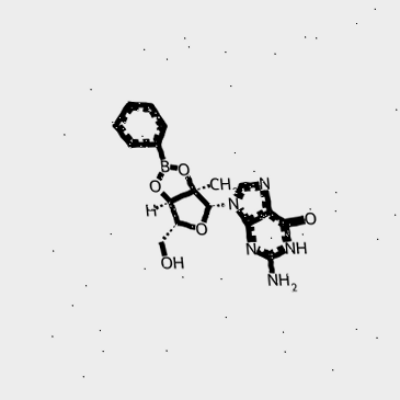 C[C@@]12OB(c3ccccc3)O[C@@H]1[C@@H](CO)O[C@H]2n1cnc2c(=O)[nH]c(N)nc21